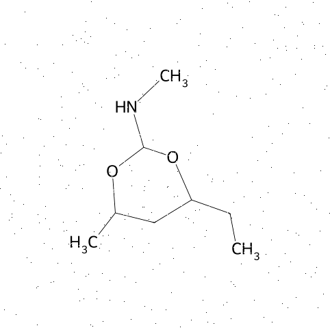 CCC1CC(C)OC(NC)O1